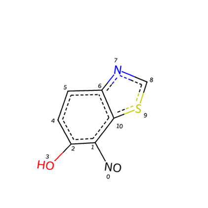 O=Nc1c(O)ccc2ncsc12